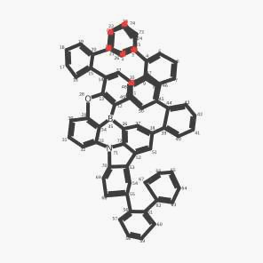 c1ccc(-c2ccccc2-c2cc3c(c(-c4ccccc4-c4ccccc4)c2)Oc2cccc4c2B3c2cc(-c3ccccc3-c3ccccc3)cc3c5cc(-c6ccccc6-c6ccccc6)ccc5n-4c23)cc1